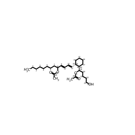 CCCCCCCCC(C=CC=C[C@@H]1CCCC[C@H]1C(CCCCO)OC(C)=O)OC(C)=O